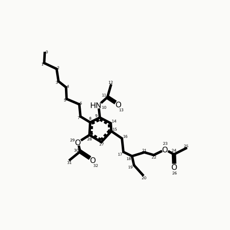 CCCCCCCCc1c(NC(C)=O)cc(CCC(CC)CCOC(C)=O)cc1OC(C)=O